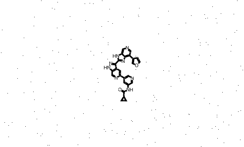 O=C(Nc1cncc(-c2cc3c(-c4nc5c(-c6ccoc6)cncc5[nH]4)n[nH]c3cn2)c1)C1CC1